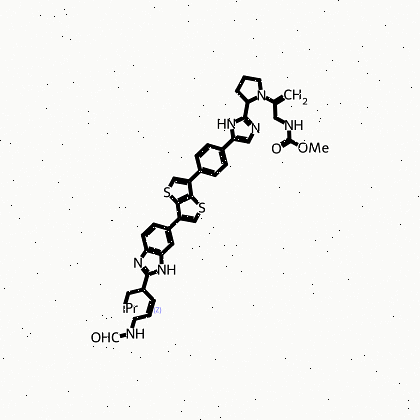 C=C(CNC(=O)OC)N1CCCC1c1ncc(-c2ccc(-c3csc4c(-c5ccc6nc(C(/C=C\CNC=O)CC(C)C)[nH]c6c5)csc34)cc2)[nH]1